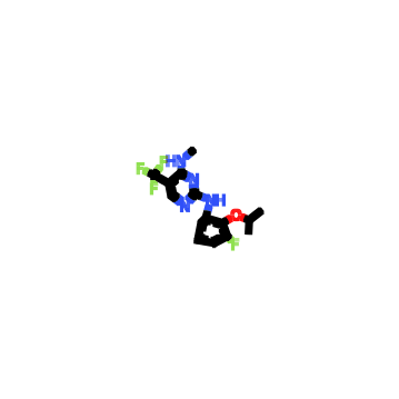 CNc1nc(Nc2cc[c]c(F)c2OC(C)C)ncc1C(F)(F)F